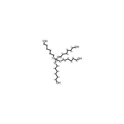 OCCCCCC[O][Ti]([O]CCCCCCO)([O]CCCCCCO)[O]CCCCCCO